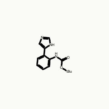 CC(C)(C)OC(=O)Nc1ccccc1-c1cnc[nH]1